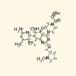 Cc1cc(N)nc(-c2cc3nc(OCC4CCCN4C)nc(N4CCN(C(=O)OC(C)(C)C)CC4C)c3cc2Cl)c1C(F)(F)F